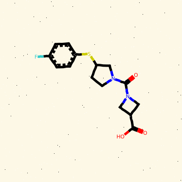 O=C(O)C1CN(C(=O)N2CCC(Sc3ccc(F)cc3)C2)C1